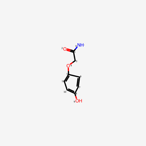 [NH]C(=O)COc1ccc(O)cc1